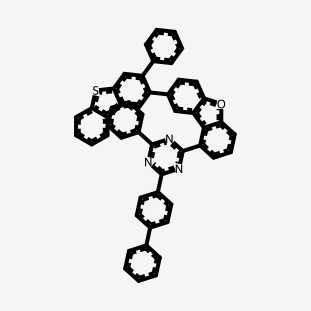 c1ccc(-c2ccc(-c3nc(-c4ccccc4)nc(-c4cccc5oc6ccc(-c7cc8c(cc7-c7ccccc7)sc7ccccc78)cc6c45)n3)cc2)cc1